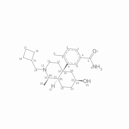 Cc1ccc(C(N)=O)cc1[C@]12CCN(CC3CCC3)[C@H](C)[C@@H]1CC[C@H](O)C2